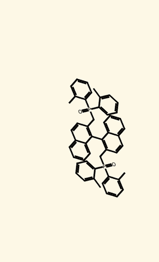 Cc1ccccc1P(=O)(Cc1ccc2ccccc2c1-c1c(CP(=O)(c2ccccc2C)c2ccccc2C)ccc2ccccc12)c1ccccc1C